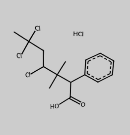 CC(Cl)(Cl)CC(Cl)C(C)(C)C(C(=O)O)c1ccccc1.Cl